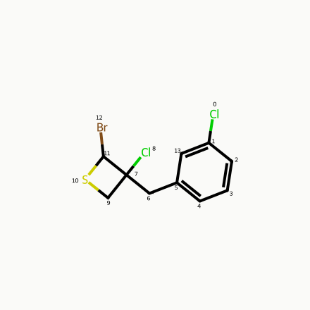 Clc1cccc([CH]C2(Cl)CSC2Br)c1